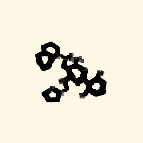 CCc1cccc(CC)c1-c1nc(C)c(CN(C)[C@H]2CCCc3ccccc32)c(NC[C@@H]2CCCO2)n1